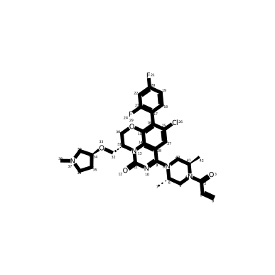 C=CC(=O)N1C[C@H](C)N(c2nc(=O)n3c4c(c(-c5ccc(F)cc5F)c(Cl)cc24)OC[C@H]3CO[C@H]2CCN(C)C2)C[C@H]1C